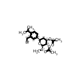 CS[C@H]1O[C@@H](c2ccc(C(C)C)c(CBr)c2)C[C@@H](OC(C)=O)[C@@H]1OC(C)=O